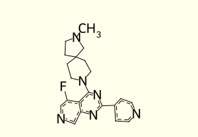 CN1CCC2(CCN(c3nc(-c4ccncc4)nc4cncc(F)c34)CC2)C1